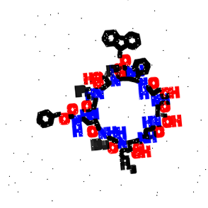 CC[C@H](C)[C@@H]1NC(=O)[C@@H](CCNC(=O)OCc2ccccc2)NC(=O)[C@H](CC(C)C)NC(=O)[C@H]([C@H](O)C(C)C)NC(=O)[C@@H](NC(=O)OCC2c3ccccc3-c3ccccc32)[C@@H](c2ccccc2)NC(=O)C(CO)NC(=O)[C@H](CO)NC(=O)CNC(=O)[C@H]([C@H](C)O)NC1=O